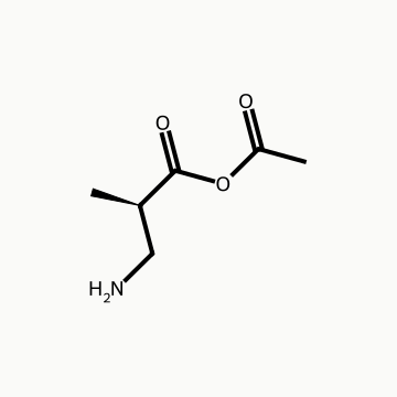 CC(=O)OC(=O)[C@H](C)CN